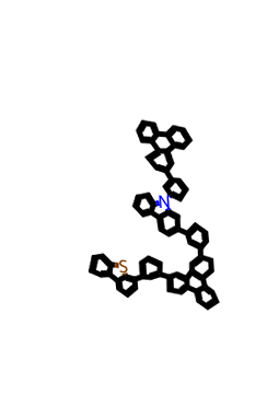 C1=C(c2cccc(-c3ccc4c5ccccc5n(-c5cccc(-c6ccc7c8ccccc8c8ccccc8c7c6)c5)c4c3)c2)CCc2c1c1cc(-c3cccc(-c4cccc5c4sc4ccccc45)c3)ccc1c1ccccc21